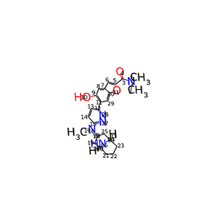 CN(C)C(=O)c1cc2cc(O)c(-c3ccc(N(C)[C@H]4C[C@H]5CCC[C@@H](C4)N5)nn3)cc2o1